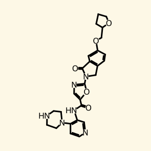 O=C(Nc1cnccc1N1CCNCC1)c1cnc(N2Cc3ccc(OCC4CCCO4)cc3C2=O)o1